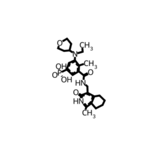 CCN(c1cc(P(=O)(O)O)cc(C(=O)NCc2c3c(c(C)[nH]c2=O)CCCC3)c1C)C1CCOCC1